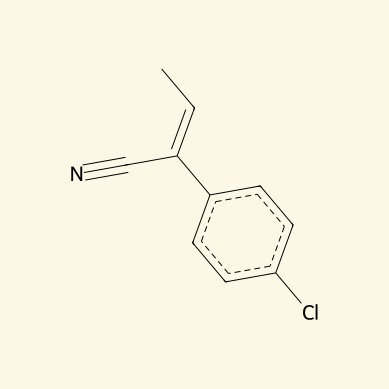 CC=C(C#N)c1ccc(Cl)cc1